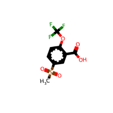 CS(=O)(=O)c1ccc(OC(F)(F)F)c(C(=O)O)c1